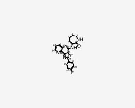 O=C1NCCCC[C@H]1Nc1nc2cccnc2c2nc(-c3ccc(F)cc3)nn12